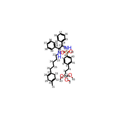 CO[Si](CCc1ccc(S(=O)(=O)N[C@H](c2ccccc2)[C@H](NCCCCCC2=CCC(C)=CC2)c2ccccc2)cc1)(OC)OC